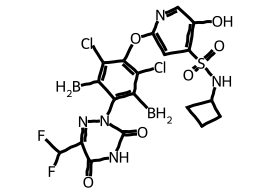 Bc1c(Cl)c(Oc2cc(S(=O)(=O)NC3CCC3)c(O)cn2)c(Cl)c(B)c1-n1nc(C(F)F)c(=O)[nH]c1=O